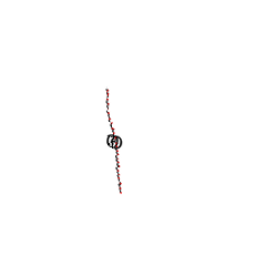 CCCCCCCCCCCCCCCCCCCCCCCCOC(=O)CCCCCCCCCCCCCCCCCCCCCC